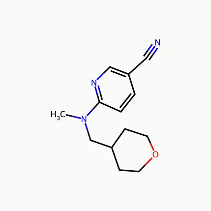 CN(CC1CCOCC1)c1ccc(C#N)cn1